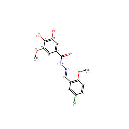 COc1ccc(Cl)cc1/C=N/NC(=O)c1cc(O)c(O)c(OC)c1